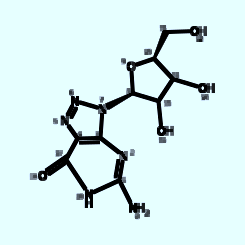 Nc1nc2c(nnn2[C@H]2O[C@@H](CO)C(O)C2O)c(=O)[nH]1